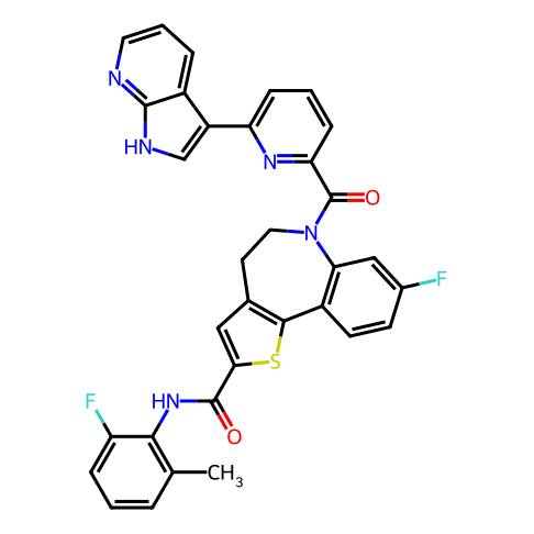 Cc1cccc(F)c1NC(=O)c1cc2c(s1)-c1ccc(F)cc1N(C(=O)c1cccc(-c3c[nH]c4ncccc34)n1)CC2